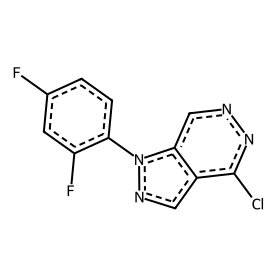 Fc1ccc(-n2ncc3c(Cl)nncc32)c(F)c1